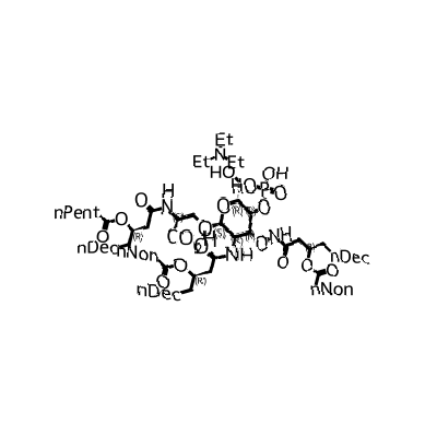 CCCCCCCCCCC[C@H](CC(=O)NO[C@@H]1[C@@H](NC(=O)C[C@@H](CCCCCCCCCCC)OC(=O)CCCCCCCCC)[C@@H](OC[C@H](NC(=O)C[C@@H](CCCCCCCCCCC)OC(=O)CCCCC)C(=O)O)O[C@H](CO)[C@H]1OP(=O)(O)O)OC(=O)CCCCCCCCC.CCN(CC)CC